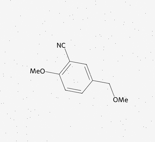 COCc1ccc(OC)c(C#N)c1